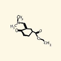 CCOC(=O)C1CCC(=O)/C(=C\N(C)C)C1